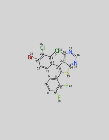 Cc1c(-c2c(-c3cccc(F)c3F)sc3ncnc(Cl)c23)ccc(Br)c1Cl